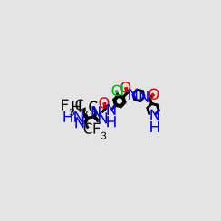 Cn1c(-c2c(C(F)(F)F)n[nH]c2CC(F)(F)F)cnc1C(=O)Nc1ccc(C(=O)N2CCN(C(=O)C3CCNCC3)CC2)c(Cl)c1